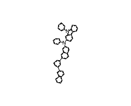 c1ccc(N(c2ccc3ccc(-c4cccc(-c5ccc6ccccc6c5)c4)cc3c2)c2ccc3c4ccccc4n(-c4ccccc4)c3c2)cc1